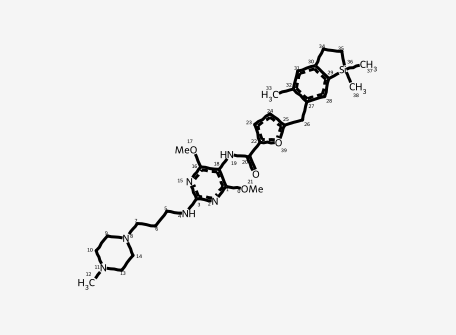 COc1nc(NCCCN2CCN(C)CC2)nc(OC)c1NC(=O)c1ccc(Cc2cc3c(cc2C)CC[Si]3(C)C)o1